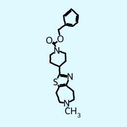 CN1CCc2nc(C3CCN(C(=O)OCc4ccccc4)CC3)sc2CC1